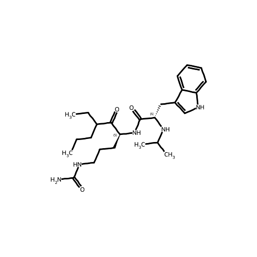 CCCC(CC)C(=O)[C@H](CCCNC(N)=O)NC(=O)[C@H](Cc1c[nH]c2ccccc12)NC(C)C